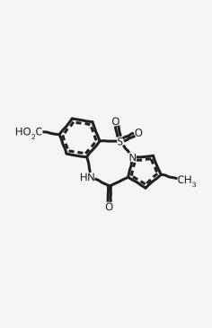 Cc1cc2n(c1)S(=O)(=O)c1ccc(C(=O)O)cc1NC2=O